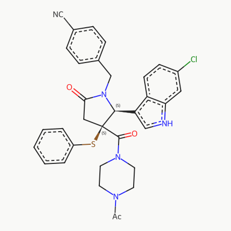 CC(=O)N1CCN(C(=O)[C@]2(Sc3ccccc3)CC(=O)N(Cc3ccc(C#N)cc3)[C@H]2c2c[nH]c3cc(Cl)ccc23)CC1